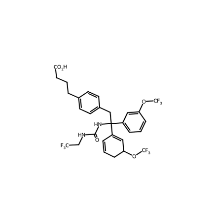 O=C(O)CCCc1ccc(CC(NC(=O)NCC(F)(F)F)(C2=CC(OC(F)(F)F)CC=C2)c2cccc(OC(F)(F)F)c2)cc1